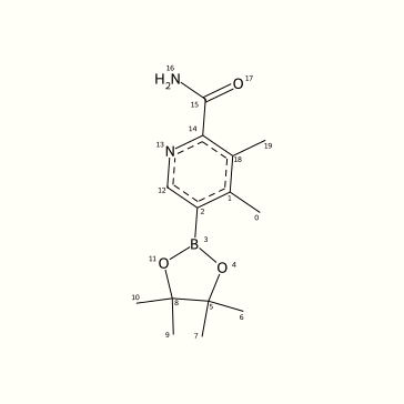 Cc1c(B2OC(C)(C)C(C)(C)O2)cnc(C(N)=O)c1C